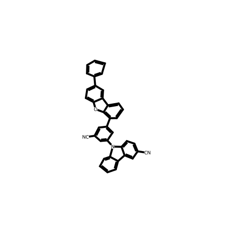 N#Cc1cc(-c2cccc3c2oc2ccc(-c4ccccc4)cc23)cc(-n2c3ccccc3c3cc(C#N)ccc32)c1